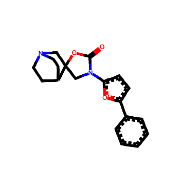 O=C1OC2(CN3CCC2CC3)CN1c1ccc(-c2ccccc2)o1